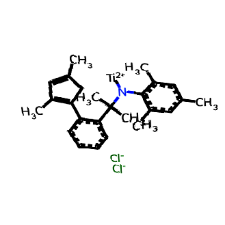 CC1=CC(C)=C(c2ccccc2C(C)(C)[N]([Ti+2])c2c(C)cc(C)cc2C)C1.[Cl-].[Cl-]